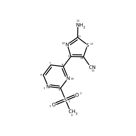 CS(=O)(=O)c1nccc(-c2nc(N)sc2C#N)n1